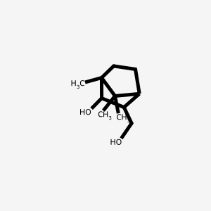 CC1(C)C2CCC1(C)C(O)C2CO